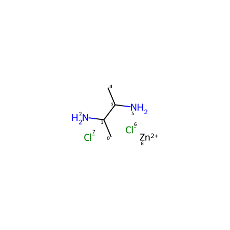 CC(N)C(C)N.[Cl-].[Cl-].[Zn+2]